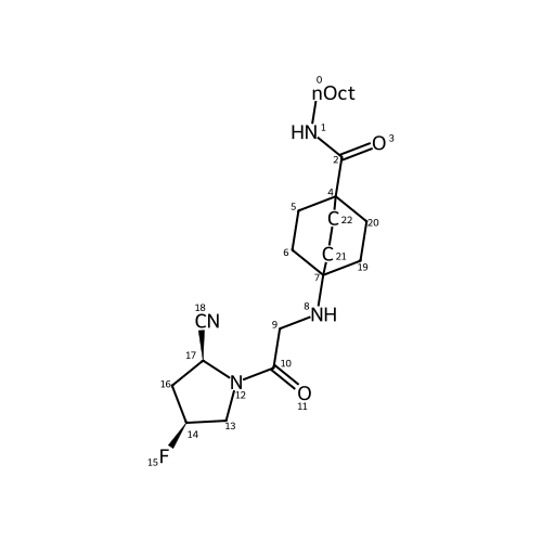 CCCCCCCCNC(=O)C12CCC(NCC(=O)N3C[C@@H](F)C[C@H]3C#N)(CC1)CC2